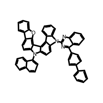 c1ccc(-c2ccc(-c3nc(-n4c5ccccc5c5c6c7c8oc9ccccc9c8ccc7n(-c7cccc8ccccc78)c6ccc54)nc4ccccc34)cc2)cc1